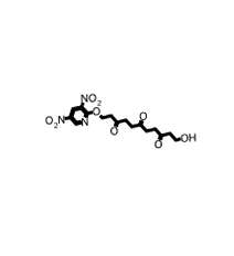 O=C(CCO)CCC(=O)CCC(=O)CCOc1ncc([N+](=O)[O-])cc1[N+](=O)[O-]